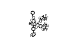 C=C(C)C[C@]1(c2ccc(-c3cnccn3)cc2)NC(=NC(=O)OCc2ccccc2)N([C@H](COC(=O)NC2(C(F)(F)F)CC2)c2ccc(Cl)c(-n3ncnc3C(F)F)c2)C1=O